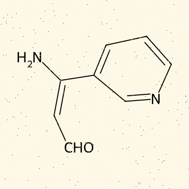 N/C(=C/C=O)c1cccnc1